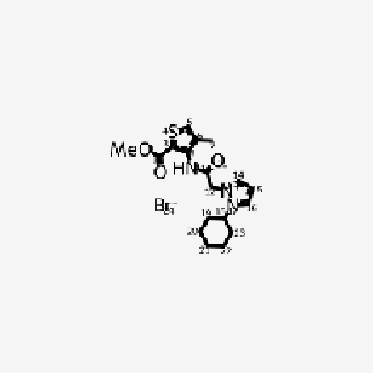 COC(=O)c1scc(C)c1NC(=O)C[n+]1cccn1C1CCCCC1.[Br-]